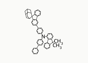 CC1(C)c2ccccc2-c2c(N(c3ccc(-c4ccccc4)cc3)c3ccc(-c4ccc5c(c4)-c4ccccc4C54C5CC6CC(C5)CC4C6)cc3)cccc21